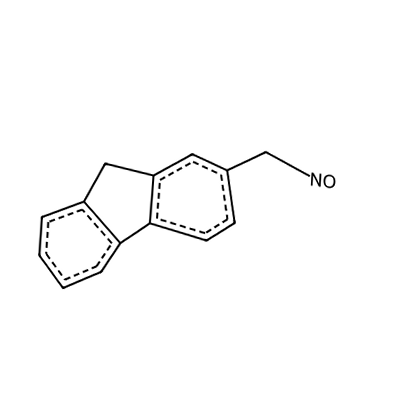 O=NCc1ccc2c(c1)Cc1ccccc1-2